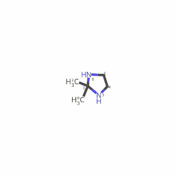 CC1(C)NCCN1